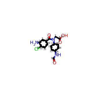 Nc1cc(C(=O)N(CC(=O)O)c2ccc(NC=O)cc2)ccc1Cl